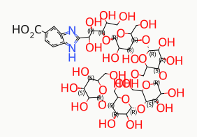 O=C(O)c1ccc2[nH]c(C(O)[C@@H](O)[C@H](O[C@H]3OC(CO)[C@@H](O[C@H]4OC(CO)[C@@H](O[C@H]5OC(CO)[C@@H](O[C@H]6OC(CO)[C@@H](O[C@H]7OC(CO)[C@@H](O)[C@H](O)C7O)[C@H](O)C6O)[C@H](O)C5O)[C@H](O)C4O)[C@H](O)C3O)C(O)CO)nc2c1